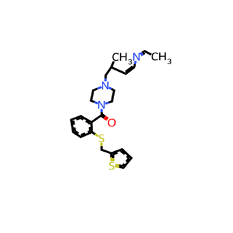 C/C=N\C=C/C(C)CN1CCN(C(=O)c2ccccc2SCc2cccs2)CC1